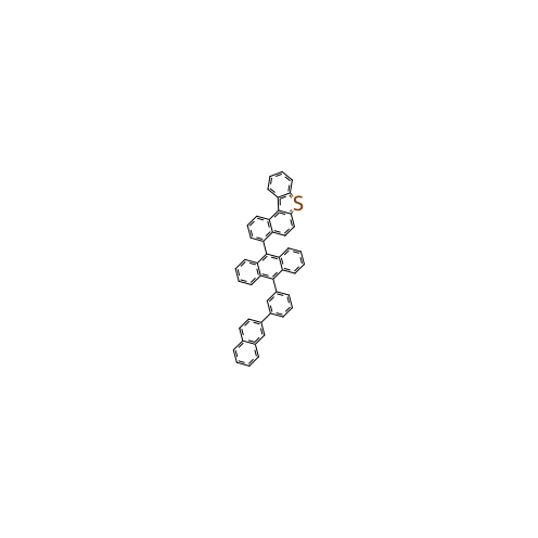 c1cc(-c2ccc3ccccc3c2)cc(-c2c3ccccc3c(-c3cccc4c3ccc3sc5ccccc5c34)c3ccccc23)c1